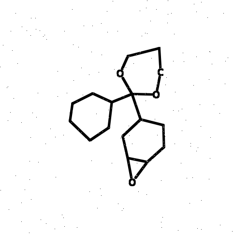 C1CCC(C2(C3CCC4OC4C3)OCCCO2)CC1